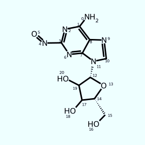 Nc1nc(N=O)nc2c1ncn2[C@@H]1O[C@H](CO)C(O)C1O